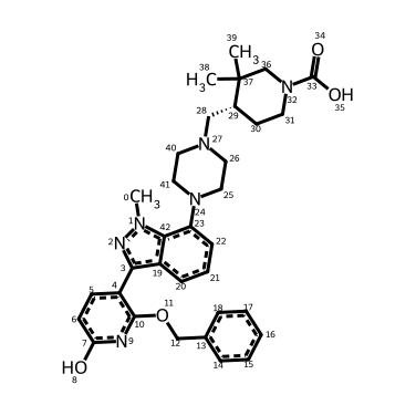 Cn1nc(-c2ccc(O)nc2OCc2ccccc2)c2cccc(N3CCN(C[C@H]4CCN(C(=O)O)CC4(C)C)CC3)c21